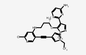 C[C@@H](CCNc1cc(Cl)ncc1C#Cc1cnn(CC(F)(F)F)c1)Oc1c(-c2nccc(N)n2)cnn1C